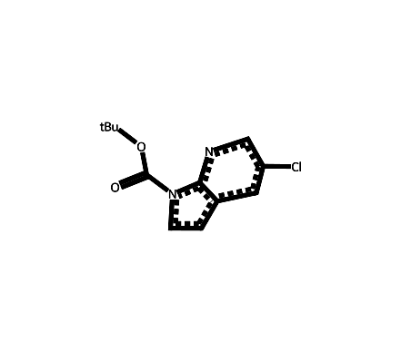 CC(C)(C)OC(=O)n1ccc2cc(Cl)cnc21